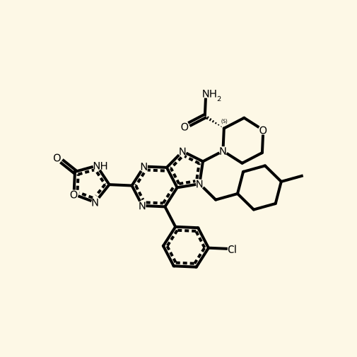 CC1CCC(Cn2c(N3CCOC[C@H]3C(N)=O)nc3nc(-c4noc(=O)[nH]4)nc(-c4cccc(Cl)c4)c32)CC1